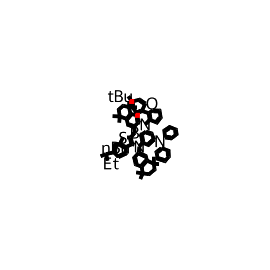 CCCCC(C)(C)c1cc2sc3c(c2cc1CC)N(c1ccc2c(c1)C(C)(C)CCC2(C)C)c1cc(N(c2ccccc2)c2ccccc2)cc2c1B3c1cc3c(cc1N2c1cccc2oc4cc(C(C)(C)C)ccc4c12)C(C)(C)CCC3(C)C